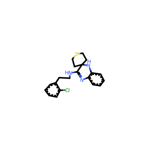 Clc1ccccc1CCNC1=Nc2ccccc2NC12CCSCC2